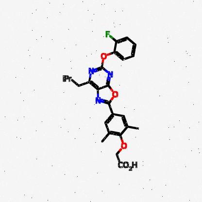 Cc1cc(-c2nc3c(CC(C)C)nc(Oc4ccccc4F)nc3o2)cc(C)c1OCC(=O)O